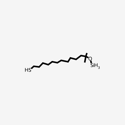 CC(C)(CCCCCCCCCCCS)O[SiH3]